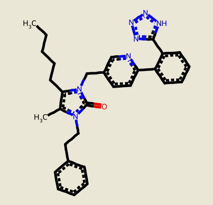 CCCCCc1c(C)n(CCc2ccccc2)c(=O)n1Cc1ccc(-c2ccccc2-c2nnn[nH]2)nc1